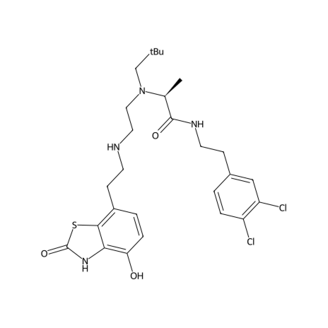 C[C@@H](C(=O)NCCc1ccc(Cl)c(Cl)c1)N(CCNCCc1ccc(O)c2[nH]c(=O)sc12)CC(C)(C)C